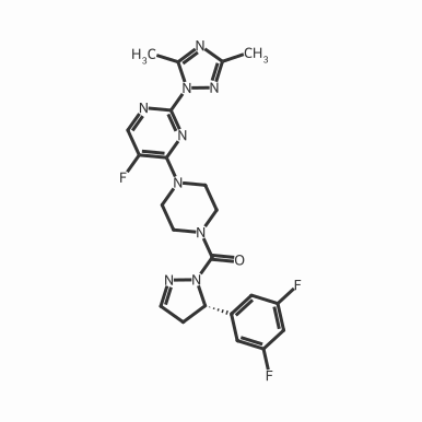 Cc1nc(C)n(-c2ncc(F)c(N3CCN(C(=O)N4N=CC[C@H]4c4cc(F)cc(F)c4)CC3)n2)n1